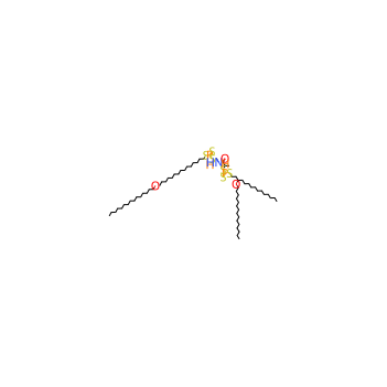 CCCCCCCCCCCCCCCOCCCCCCCCCCCCCCCS[PH](=S)SCNC(=O)C(C)S[PH](=S)SCCC(CCCCCCCCCCCC)OCCCCCCCCCCCCCCC